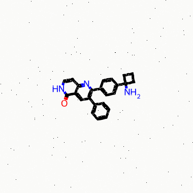 NC1(c2ccc(-c3nc4cc[nH]c(=O)c4cc3-c3ccccc3)cc2)CCC1